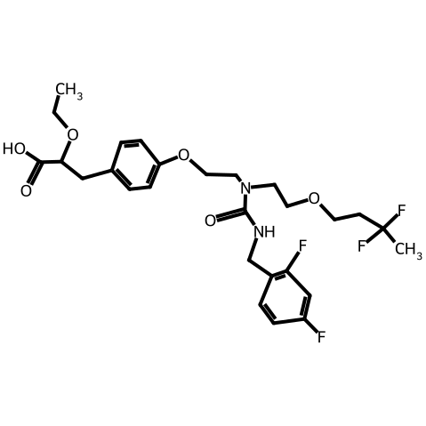 CCOC(Cc1ccc(OCCN(CCOCCC(C)(F)F)C(=O)NCc2ccc(F)cc2F)cc1)C(=O)O